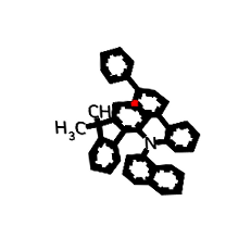 CC1(C)c2ccccc2-c2c(N(c3ccccc3-c3ccc(-c4ccccc4)cc3)c3cccc4ccccc34)cccc21